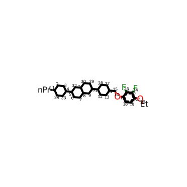 CCCC1CCC(C2CCC3CC(C4CCC(COc5ccc(OCC)c(F)c5F)CC4)CCC3C2)CC1